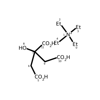 CC[N+](CC)(CC)CC.O=C(O)CC(O)(CC(=O)O)C(=O)O